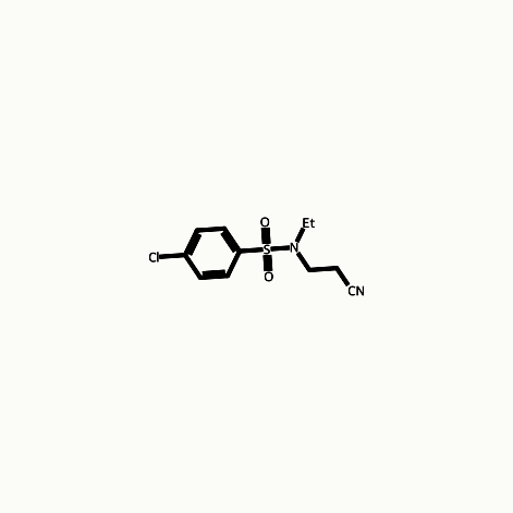 CCN(CCC#N)S(=O)(=O)c1ccc(Cl)cc1